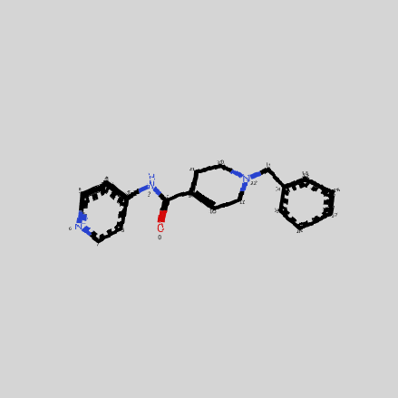 O=C(Nc1ccncc1)C1=CCN(Cc2ccccc2)CC1